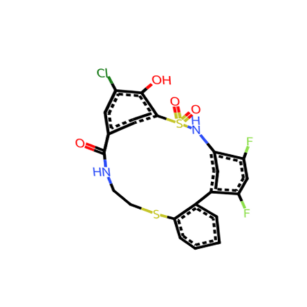 O=C1NCCSc2ccccc2-c2cc(c(F)cc2F)NS(=O)(=O)c2cc1cc(Cl)c2O